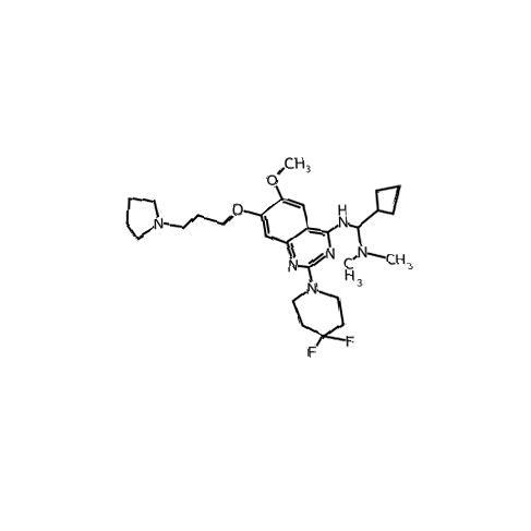 COc1cc2c(NC(C3CCC3)N(C)C)nc(N3CCC(F)(F)CC3)nc2cc1OCCCN1CCCC1